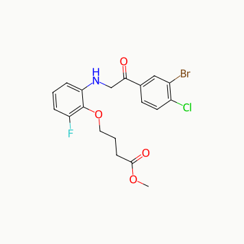 COC(=O)CCCOc1c(F)cccc1NCC(=O)c1ccc(Cl)c(Br)c1